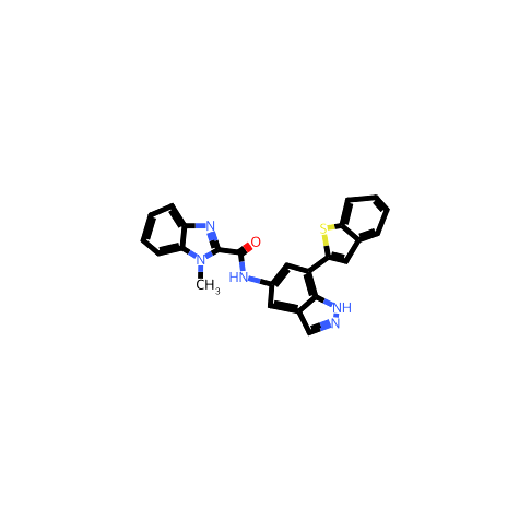 Cn1c(C(=O)Nc2cc(-c3cc4ccccc4s3)c3[nH]ncc3c2)nc2ccccc21